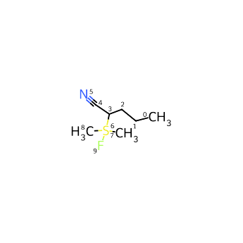 CCCC(C#N)S(C)(C)F